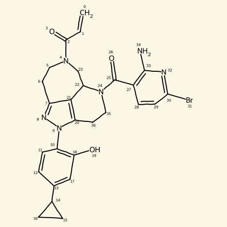 C=CC(=O)N1CCc2nn(-c3ccc(C4CC4)cc3O)c3c2C(C1)N(C(=O)c1ccc(Br)nc1N)CC3